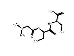 CC(=O)C(CS)NC(=O)C(CO)NC(=O)CN(C)C